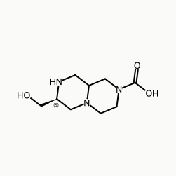 O=C(O)N1CCN2C[C@@H](CO)NCC2C1